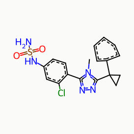 Cn1c(-c2ccc(NS(N)(=O)=O)cc2Cl)nnc1C1(c2ccccc2)CC1